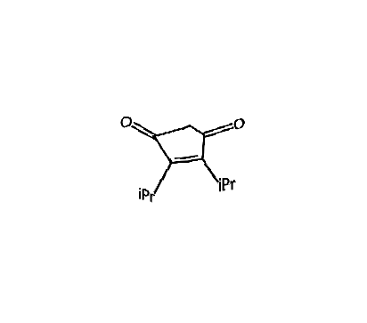 CC(C)C1=C(C(C)C)C(=O)CC1=O